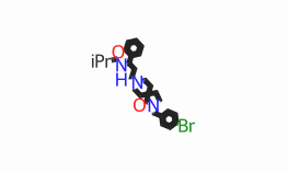 CC(C)C(=O)NC(CCN1CCC2(CC1)CCN(Cc1ccc(Br)cc1)C2=O)c1ccccc1